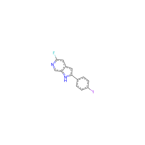 Fc1cc2cc(-c3ccc(I)cc3)[nH]c2cn1